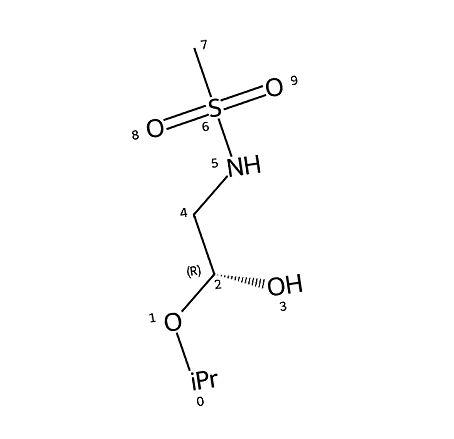 CC(C)O[C@@H](O)CNS(C)(=O)=O